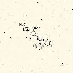 COc1cc(/C=C2\CC[C@@H]3CCC[C@@H](c4cc(F)c(F)c(F)c4)N3C2=O)ccc1-n1cnc(C)c1